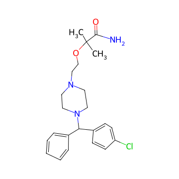 CC(C)(OCCN1CCN(C(c2ccccc2)c2ccc(Cl)cc2)CC1)C(N)=O